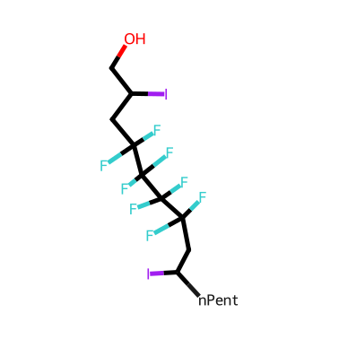 CCCCCC(I)CC(F)(F)C(F)(F)C(F)(F)C(F)(F)CC(I)CO